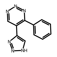 c1ccc(-c2nnncc2-c2c[nH]nn2)cc1